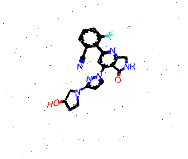 N#Cc1cccc(F)c1-c1cc(-n2ccc(N3CCC(O)C3)n2)c2c(n1)CNC2=O